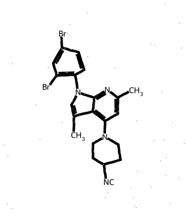 [C-]#[N+]C1CCN(c2cc(C)nc3c2c(C)cn3-c2ccc(Br)cc2Br)CC1